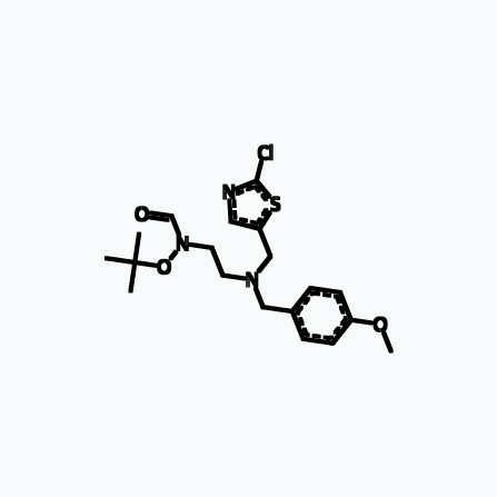 COc1ccc(CN(CCN(C=O)OC(C)(C)C)Cc2cnc(Cl)s2)cc1